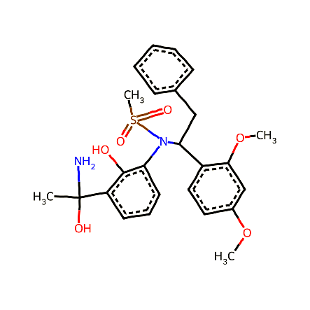 COc1ccc(C(Cc2ccccc2)N(c2cccc(C(C)(N)O)c2O)S(C)(=O)=O)c(OC)c1